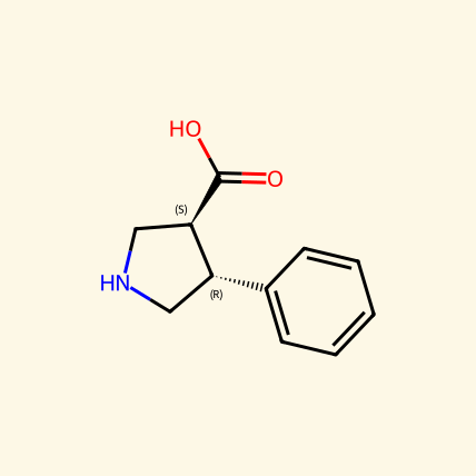 O=C(O)[C@@H]1CNC[C@H]1c1ccccc1